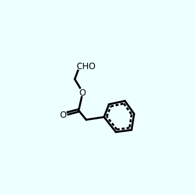 O=CCOC(=O)Cc1ccccc1